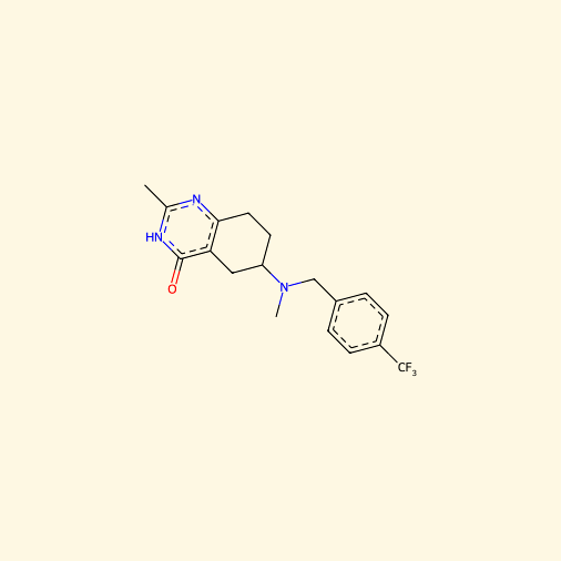 Cc1nc2c(c(=O)[nH]1)CC(N(C)Cc1ccc(C(F)(F)F)cc1)CC2